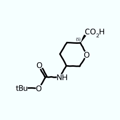 CC(C)(C)OC(=O)NC1CC[C@@H](C(=O)O)OC1